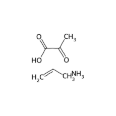 C=CC.CC(=O)C(=O)O.N